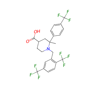 CC1(c2ccc(C(F)(F)F)cc2)CC(C(=O)O)CCN1Cc1cc(C(F)(F)F)ccc1C(F)(F)F